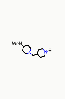 CCN1CCC(CN2CCC(NC)CC2)CC1